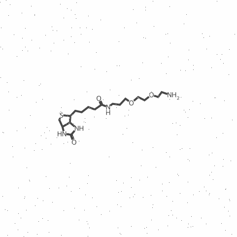 NCCOCCOCCCNC(=O)CCCCC1SCC2NC(=O)NC21